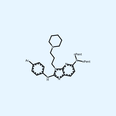 CCCCCN(CCCCC)c1ccc2nc(Nc3ccc(C(C)=O)cc3)n(CCCN3CCCCC3)c2n1